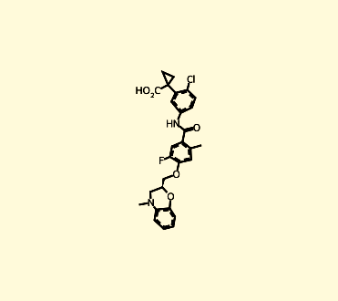 Cc1cc(OC[C@@H]2CN(C)c3ccccc3O2)c(F)cc1C(=O)Nc1ccc(Cl)c(C2(C(=O)O)CC2)c1